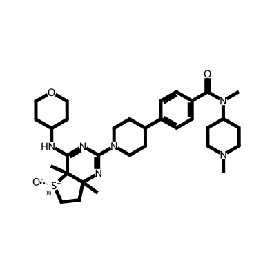 CN1CCC(N(C)C(=O)c2ccc(C3CCN(C4=NC5(C)CC[S@+]([O-])C5(C)C(NC5CCOCC5)=N4)CC3)cc2)CC1